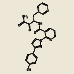 N#Cc1ccc(-c2ccn(-c3ncccc3C(=O)NC(Cc3ccccc3)C(=O)C(N)=O)n2)cc1